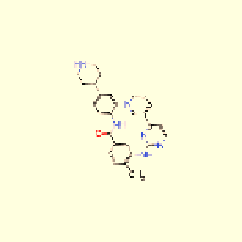 Cc1ccc(C(=O)Nc2ccc(C3CCNCC3)cc2)cc1Nc1nccc(-c2cccnc2)n1